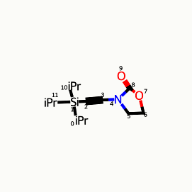 CC(C)[Si](C#CN1CCOC1=O)(C(C)C)C(C)C